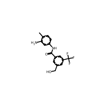 Cc1ccc(NC(=O)c2cc(CO)cc(C(F)(F)F)c2)cc1N